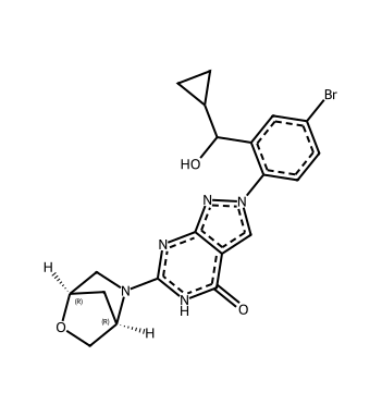 O=c1[nH]c(N2C[C@H]3C[C@@H]2CO3)nc2nn(-c3ccc(Br)cc3C(O)C3CC3)cc12